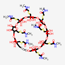 CNC(=O)CSCC1OC2OC3C(CSCC(=O)NC)OC(OC4C(CSCC(=O)NC)OC(OC5C(CSCC(=O)NC)OC(OC6C(CSCC(=O)NC)OC(OC7C(CSCC(=O)NC)OC(OC8C(CSCC(=O)NC)OC(OC9C(CSCC(=O)NC)OC(OCCCCC1C(O)C2O)C(O)C9O)C(O)C8O)C(O)C7O)C(O)C6O)C(O)C5O)C(O)C4O)C(O)C3O